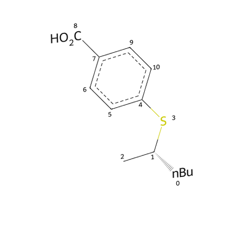 CCCC[C@H](C)Sc1ccc(C(=O)O)cc1